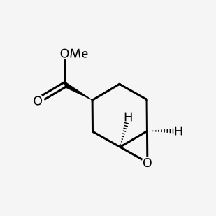 COC(=O)[C@H]1CC[C@H]2O[C@H]2C1